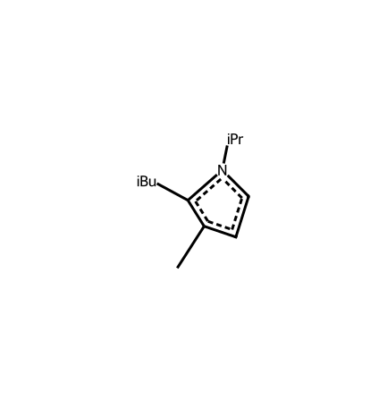 CCC(C)c1c(C)ccn1C(C)C